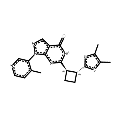 Cc1ccncc1-n1ncc2c(=O)[nH]c([C@@H]3CC[C@H]3c3nc(C)c(C)s3)nc21